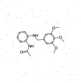 COc1cc(CNc2ccccc2NC(C)=O)cc(OC)c1OC